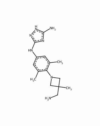 Cc1cc(Nc2n[nH]c(N)n2)cc(C)c1N1CC(C)(CN)C1